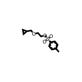 Cc1ccc(S(=O)(=O)OCCOCC2CC2)cc1